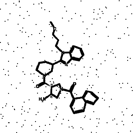 COCCCn1c(C2CCCN(C(=O)[C@@H]3CN(C(=O)c4cccc5ccccc45)C[C@H]3N)C2)nc2ccccc21